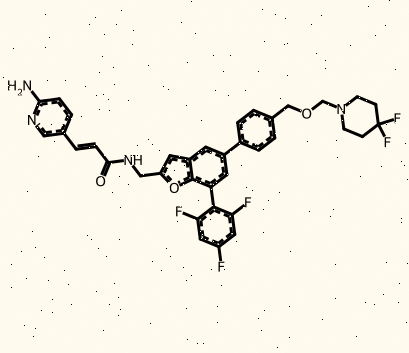 Nc1ccc(/C=C/C(=O)NCc2cc3cc(-c4ccc(COCN5CCC(F)(F)CC5)cc4)cc(-c4c(F)cc(F)cc4F)c3o2)cn1